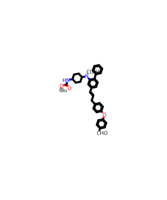 CC(C)(C)OC(=O)NC1CCC(N(C(=O)O)c2cc(/C=C/Cc3ccc(Oc4ccc(C=O)cc4)cc3)ccc2-c2ccccc2)CC1